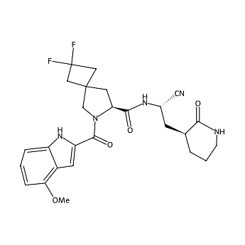 COc1cccc2[nH]c(C(=O)N3CC4(C[C@H]3C(=O)N[C@H](C#N)C[C@@H]3CCCNC3=O)CC(F)(F)C4)cc12